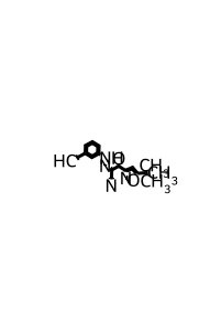 C#Cc1cccc(NN=C(C#N)C(=O)c2cc(C(C)(C)C)on2)c1